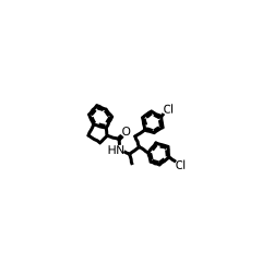 CC(NC(=O)C1CCc2ccccc21)C(Cc1ccc(Cl)cc1)c1ccc(Cl)cc1